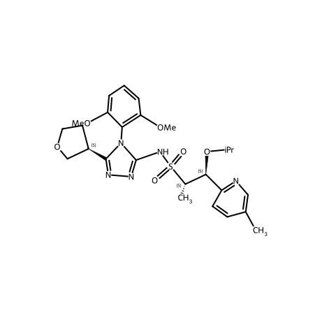 COc1cccc(OC)c1-n1c(NS(=O)(=O)[C@@H](C)[C@@H](OC(C)C)c2ccc(C)cn2)nnc1[C@@H]1CCOC1